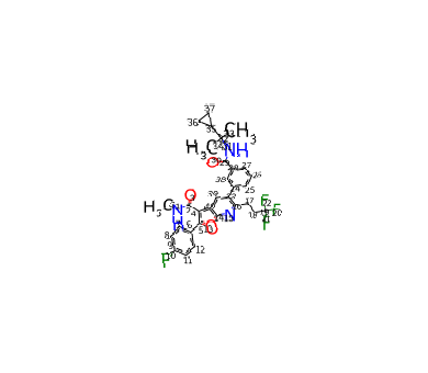 CNC(=O)c1c(-c2ccc(F)cc2)oc2nc(CCC(F)(F)F)c(-c3cccc(C(=O)NC(C)(C)C4CC4)c3)cc12